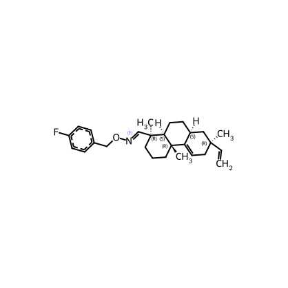 C=C[C@@]1(C)CC=C2[C@@H](CC[C@H]3[C@@]2(C)CCC[C@@]3(C)/C=N/OCc2ccc(F)cc2)C1